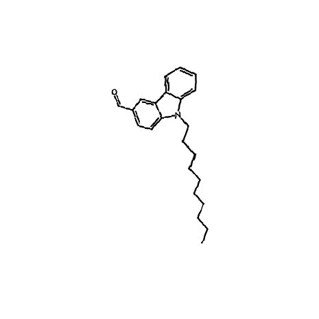 CCCCCCCCCCn1c2ccccc2c2cc(C=O)ccc21